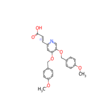 COc1ccc(COc2cnc(/C=C/C(=O)O)cc2OCc2ccc(OC)cc2)cc1